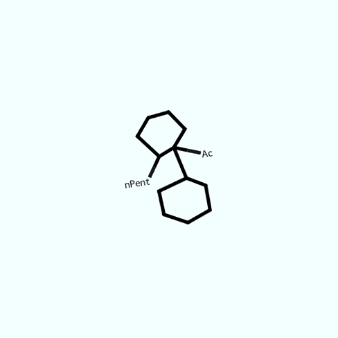 CCCCCC1CCCCC1(C(C)=O)C1CCCCC1